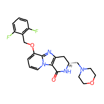 O=C1N[C@@H](CN2CCOCC2)Cc2nc3c(OCc4c(F)cccc4F)cccn3c21